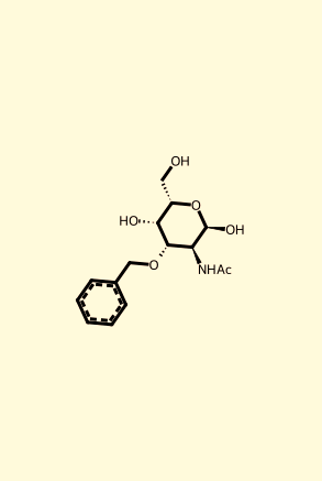 CC(=O)N[C@H]1[C@H](OCc2ccccc2)[C@H](O)[C@H](CO)O[C@H]1O